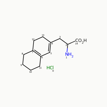 Cl.NC(CC1=CC2=C(CCCC2)CC1)C(=O)O